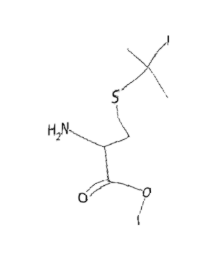 CC(C)(I)SCC(N)C(=O)OI